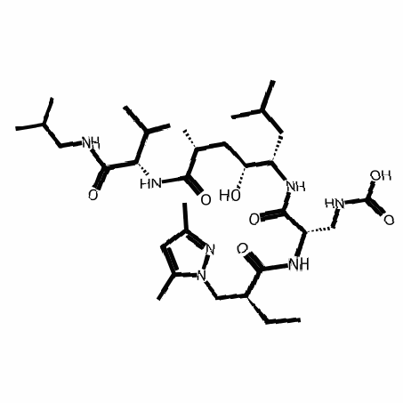 CC[C@@H](Cn1nc(C)cc1C)C(=O)N[C@@H](CNC(=O)O)C(=O)N[C@@H](CC(C)C)[C@H](O)C[C@@H](C)C(=O)N[C@H](C(=O)NCC(C)C)C(C)C